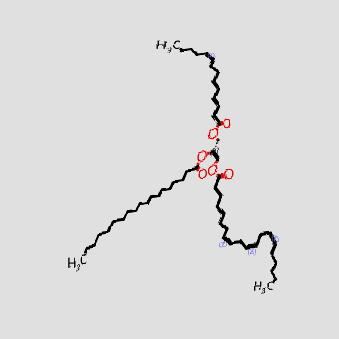 CCCC/C=C\CCCCCCCC(=O)OC[C@H](COC(=O)CCCCCC/C=C\C/C=C\C/C=C\CCCCC)OC(=O)CCCCCCCCCCCCCCCCCC